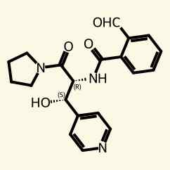 O=Cc1ccccc1C(=O)N[C@@H](C(=O)N1CCCC1)[C@@H](O)c1ccncc1